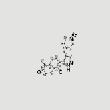 CC(=O)N1CCN(Cc2cn[nH]c2-c2ccc3c(c2Cl)CCC(=O)N3C)CC1